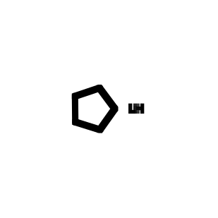 C1CCCC1.[LiH]